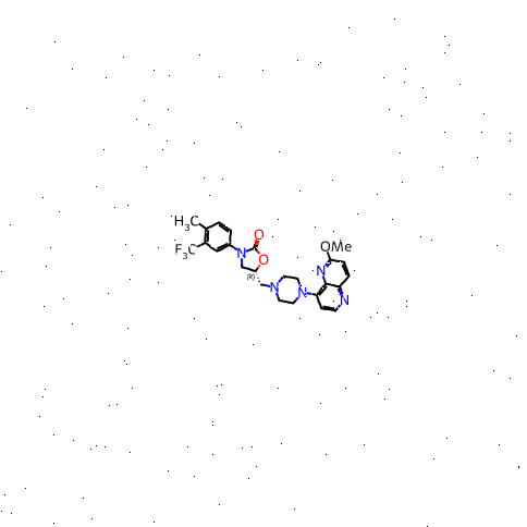 COc1ccc2nccc(N3CCN(C[C@@H]4CN(c5ccc(C)c(C(F)(F)F)c5)C(=O)O4)CC3)c2n1